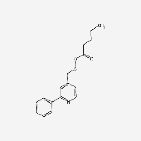 CCCCC(=O)OSCc1ccnc(-c2ccccc2)c1